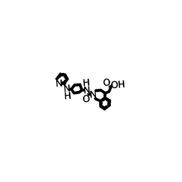 O=C(O)CC1CCN(C(=O)NC2CCC(Nc3ccccn3)CC2)Cc2ccccc21